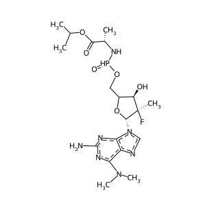 CC(C)OC(=O)[C@H](C)N[PH](=O)OCC1O[C@@H](n2cnc3c(N(C)C)nc(N)nc32)[C@](C)(F)[C@@H]1O